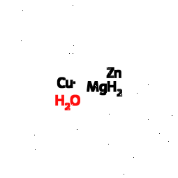 O.[Cu].[MgH2].[Zn]